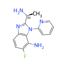 C[C@H](N)c1nc2ccc(F)c(N)c2n1-c1ccccn1